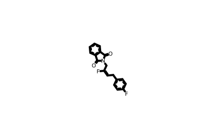 O=C1c2ccccc2C(=O)N1C/C(F)=C\Cc1ccc(F)cc1